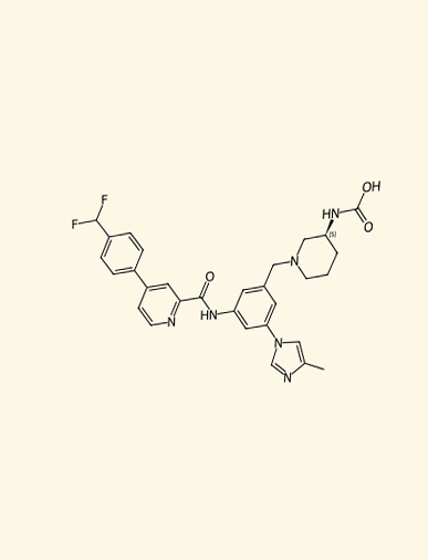 Cc1cn(-c2cc(CN3CCC[C@H](NC(=O)O)C3)cc(NC(=O)c3cc(-c4ccc(C(F)F)cc4)ccn3)c2)cn1